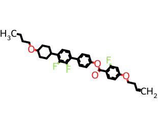 C=CCCOc1ccc(C(=O)Oc2ccc(-c3ccc(C4CCC(OCCCC)CC4)c(F)c3F)cc2)c(F)c1